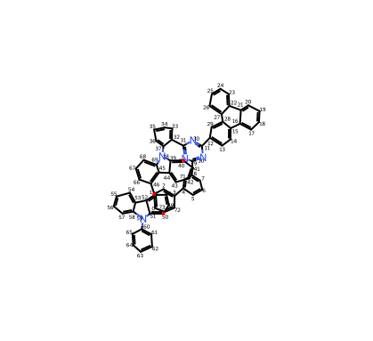 c1ccc(-c2cccc(-c3nc(-c4ccc5c6ccccc6c6ccccc6c5c4)nc(-c4ccccc4-n4c5ccccc5c5c(-c6cccc7c6c6ccccc6n7-c6ccccc6)cccc54)n3)c2)cc1